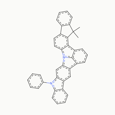 CC1(C)c2ccccc2-c2ccc3c(c21)c1cccc2c4cc5c6ccccc6n(-c6ccccc6)c5cc4n3c21